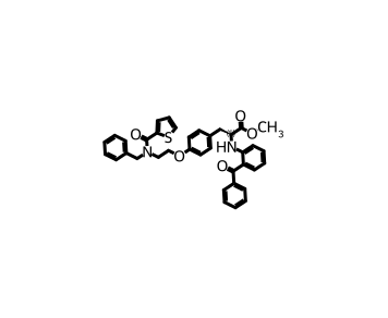 COC(=O)[C@H](Cc1ccc(OCCN(Cc2ccccc2)C(=O)c2cccs2)cc1)Nc1ccccc1C(=O)c1ccccc1